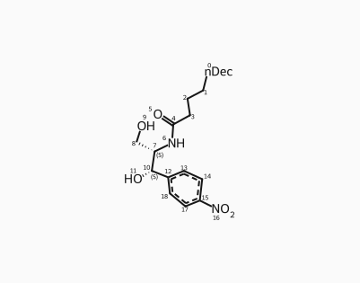 CCCCCCCCCCCCCC(=O)N[C@@H](CO)[C@@H](O)c1ccc([N+](=O)[O-])cc1